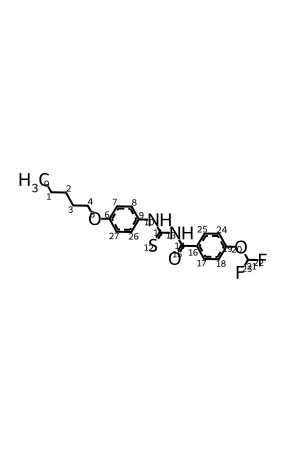 CCCCCOc1ccc(NC(=S)NC(=O)c2ccc(OC(F)F)cc2)cc1